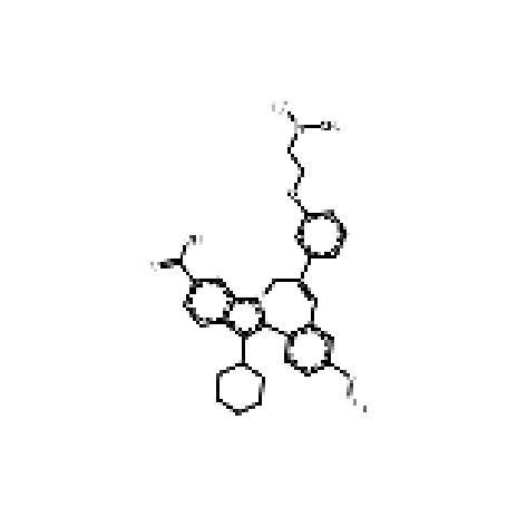 COc1ccc2c(c1)C=C(c1cccc(OCCN(C)C)c1)Cn1c-2c(C2CCCCC2)c2ccc(C(=O)O)cc21